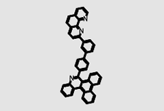 c1cc(-c2ccc(-c3nc4ccccc4c4c5ccccc5c5ccccc5c34)cc2)cc(-c2ccc3ccc4cccnc4c3n2)c1